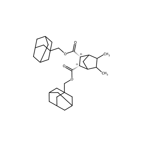 CC1C(C)C2CC1[C@@H](C(=O)OCC13CC4CC(CC(C4)C1)C3)[C@H]2C(=O)OCC12CC3CC(CC(C3)C1)C2